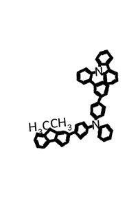 CC1(C)c2ccccc2-c2ccc(-c3ccc(N(c4ccccc4)c4ccc(-c5cccc(-c6ccccc6-n6c7ccccc7c7ccccc76)c5)cc4)cc3)cc21